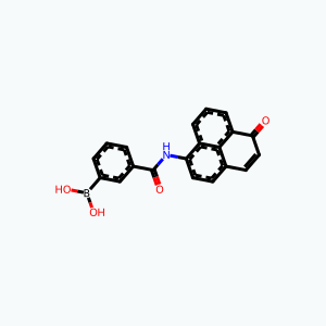 O=C(Nc1ccc2c3c(cccc13)C(=O)C=C2)c1cccc(B(O)O)c1